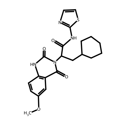 COc1ccc2[nH]c(=O)n(C(CC3CCCCC3)C(=O)Nc3nccs3)c(=O)c2c1